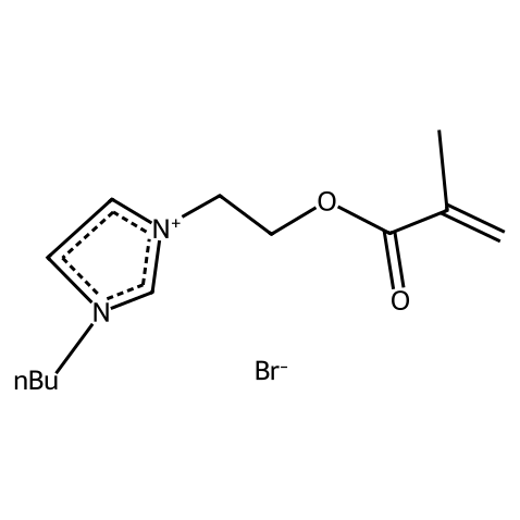 C=C(C)C(=O)OCC[n+]1ccn(CCCC)c1.[Br-]